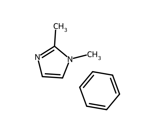 Cc1nccn1C.c1ccccc1